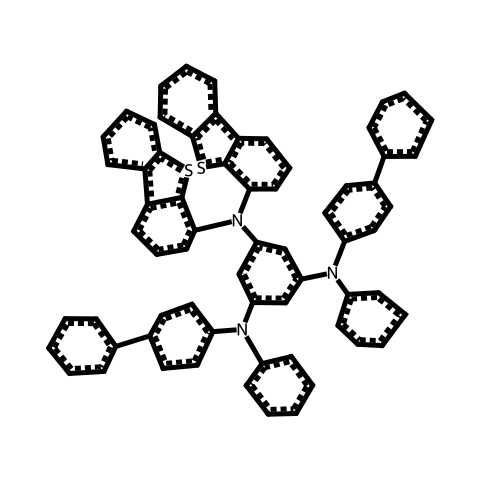 c1ccc(-c2ccc(N(c3ccccc3)c3cc(N(c4ccccc4)c4ccc(-c5ccccc5)cc4)cc(N(c4cccc5c4sc4ccccc45)c4cccc5c4sc4ccccc45)c3)cc2)cc1